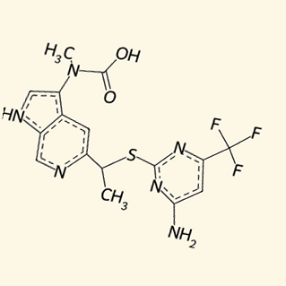 CC(Sc1nc(N)cc(C(F)(F)F)n1)c1cc2c(N(C)C(=O)O)c[nH]c2cn1